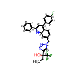 CCC(O)(c1cn(Cc2ccc3c(-c4ccc(F)cc4)cc(-c4ccccc4)nc3c2)nn1)C(F)(F)F